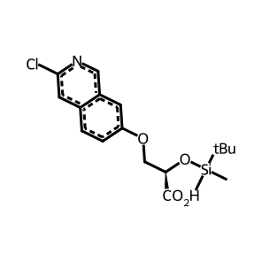 CC(C)(C)[Si](C)(C)O[C@H](COc1ccc2cc(Cl)ncc2c1)C(=O)O